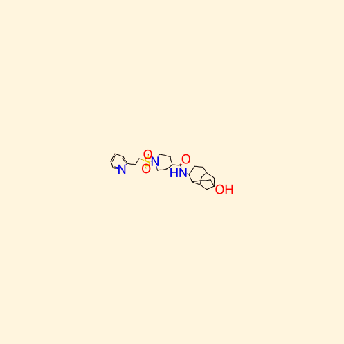 O=C(NC1CCC2CC3CC(O)(C2)CC31)C1CCN(S(=O)(=O)CCc2ccccn2)CC1